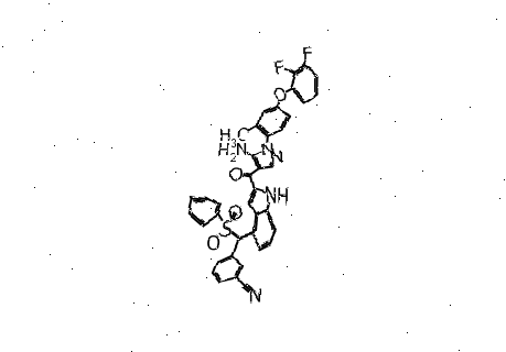 Cc1cc(Oc2cccc(F)c2F)ccc1-n1ncc(C(=O)c2cc3c(C(c4cccc(C#N)c4)S(=O)(=O)c4ccccc4)cccc3[nH]2)c1N